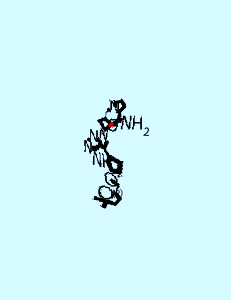 CC1(C)CC[C@H](COc2cccc(-c3cn([C@H]4C[C@@H](CN5CCCC5C(N)=O)C4)c4ncnc(N)c34)c2)O1